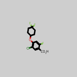 O=C(O)c1cc(Cl)c(OC2CCC(F)(F)CC2)cc1F